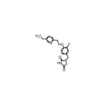 CCc1ccc(CCOc2ccc(CC3SC(=O)NC3=O)cc2F)nc1